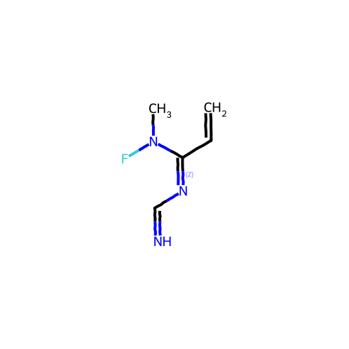 C=C/C(=N/C=N)N(C)F